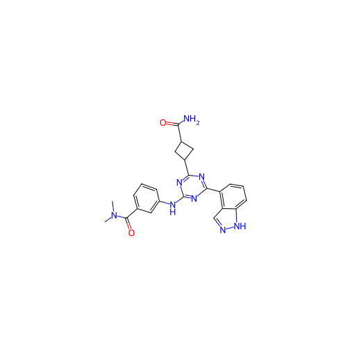 CN(C)C(=O)c1cccc(Nc2nc(-c3cccc4[nH]ncc34)nc(C3CC(C(N)=O)C3)n2)c1